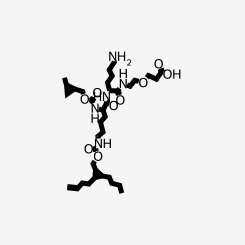 C=CCCC1C(CCCC)C1COC(=O)NCCCCC(NC(=O)OCC1CC1C)C(=O)NC(CCCCN)C(=O)NCCOCCC(=O)O